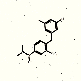 Cc1cc(Cl)cc(Cc2ccc([S+]([O-])N(C)C)cc2P)c1